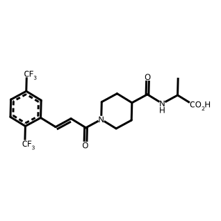 CC(NC(=O)C1CCN(C(=O)C=Cc2cc(C(F)(F)F)ccc2C(F)(F)F)CC1)C(=O)O